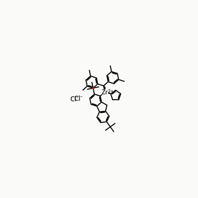 Cc1cc(C)cc([C](c2cc(C)cc(C)c2)=[Zr+2]([C]2=CC=CC2)[c]2c(C(C)(C)C)ccc3c2Cc2cc(C(C)(C)C)ccc2-3)c1.[Cl-].[Cl-]